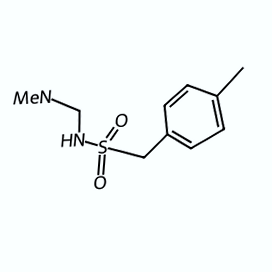 CNCNS(=O)(=O)Cc1ccc(C)cc1